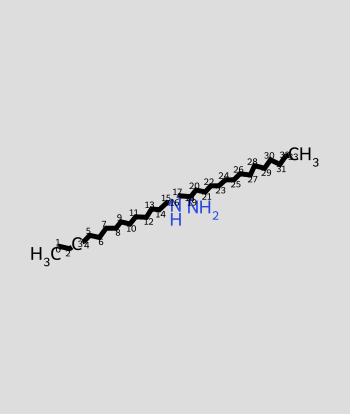 CCCCCCCCCCCCCCCCNCC(N)CCCCCCCCCCCCCC